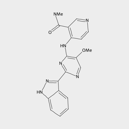 CNC(=O)c1cnccc1Nc1nc(-c2n[nH]c3ccccc23)ncc1OC